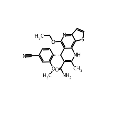 CCOc1nc2ccsc2c2c1[C@@H](c1ccc(C#N)cc1OC)C(C(N)=O)=C(C)N2